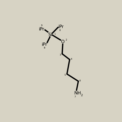 CC(C)[Si](OCCCCN)(C(C)C)C(C)C